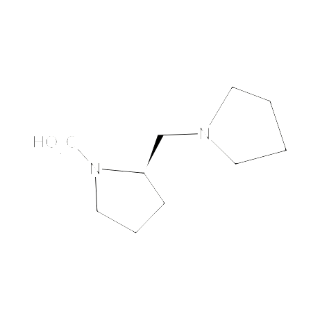 O=C(O)N1CCC[C@@H]1CN1CCCC1